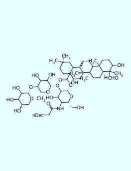 CCCCCCCCCCCC(=O)NC1C(O)C(O[C@@H]2O[C@H](C)C(O[C@@H]3OC[C@@H](O)C(O)C3O)C(O)C2O)[C@H](OC(=O)C23CCC(C)(C)CC2C2=CCC4C5(C)CCC(O)C(C)(C=O)[C@H]5CC[C@@]4(C)[C@]2(C)C[C@@H]3O)O[C@@H]1CO